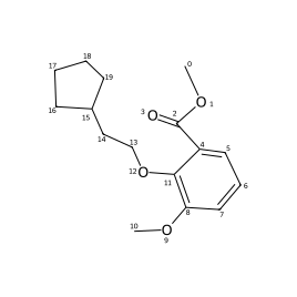 COC(=O)c1cccc(OC)c1OCCC1CCCC1